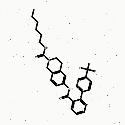 CCCCCCNC(=O)N1CCc2cc(NC(=O)c3ccccc3-c3ccc(C(F)(F)F)cc3)ccc2C1